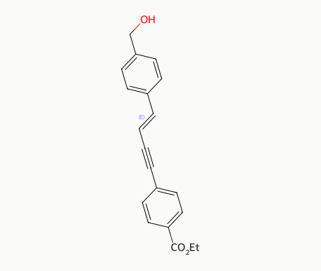 CCOC(=O)c1ccc(C#C/C=C/c2ccc(CO)cc2)cc1